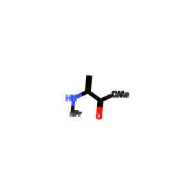 C=C(NCCC)C(=O)OC